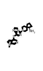 Cn1ccc2c(Sc3cnc(N4CCC5(CCC[C@H]5N)CC4)n4ccnc34)cncc21